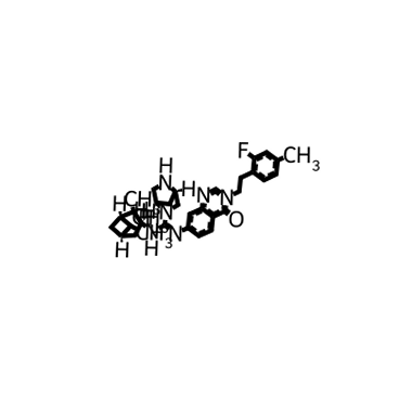 Cc1ccc(CCn2cnc3cc(N=C(N[C@H]4C[C@H]5C[C@H]([C@H]4C)C5(C)C)N4C[C@@H]5C[C@@H]4CN5)ccc3c2=O)c(F)c1